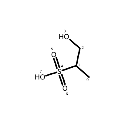 CC(CO)S(=O)(=O)O